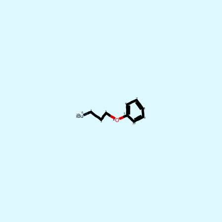 CCC(C)CCCOc1ccccc1